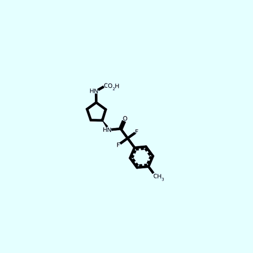 Cc1ccc(C(F)(F)C(=O)N[C@H]2CCC(NC(=O)O)C2)cc1